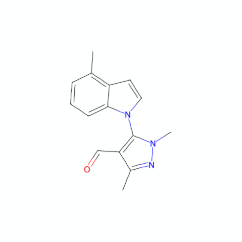 Cc1nn(C)c(-n2ccc3c(C)cccc32)c1C=O